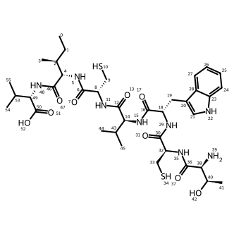 CC[C@H](C)[C@H](NC(=O)[C@H](CS)NC(=O)[C@@H](NC(=O)[C@H](Cc1c[nH]c2ccccc12)NC(=O)[C@H](CS)NC(=O)[C@@H](N)[C@@H](C)O)C(C)C)C(=O)N[C@H](C(=O)O)C(C)C